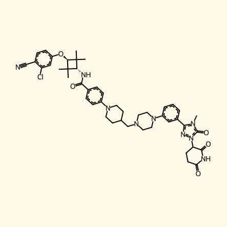 Cn1c(-c2cccc(N3CCN(CC4CCN(c5ccc(C(=O)N[C@H]6C(C)(C)[C@H](Oc7ccc(C#N)c(Cl)c7)C6(C)C)cc5)CC4)CC3)c2)nn(C2CCC(=O)NC2=O)c1=O